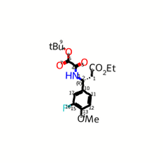 CCOC(=O)C[C@@H](NC(=O)C(=O)OC(C)(C)C)c1ccc(OC)c(F)c1